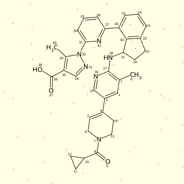 Cc1cc(C2=CCN(C(=O)C3CC3)CC2)cnc1NC1CCc2cccc(-c3cccc(-n4ncc(C(=O)O)c4C)n3)c21